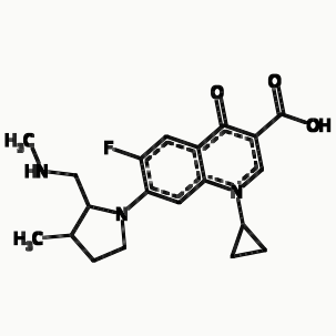 CNCC1C(C)CCN1c1cc2c(cc1F)c(=O)c(C(=O)O)cn2C1CC1